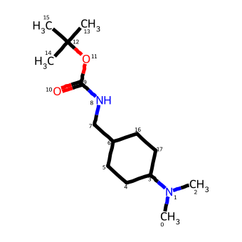 CN(C)C1CCC(CNC(=O)OC(C)(C)C)CC1